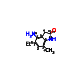 CCc1cc(C)c2c(c1N)CC(=O)N2